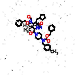 Cc1ccc(CN(C(=O)OCc2ccccc2)C2CCN(C(=O)C(NC(=O)C(CC3CCCC3)CN(C=O)OCc3ccccc3)C(C)(C)C)CC2)cc1